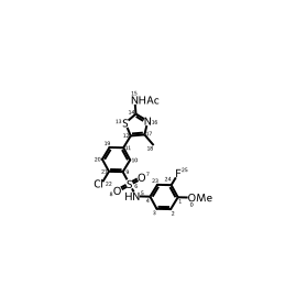 COc1ccc(NS(=O)(=O)c2cc(-c3sc(NC(C)=O)nc3C)ccc2Cl)cc1F